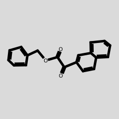 O=C(OCc1ccccc1)C(=O)c1ccc2ccccc2c1